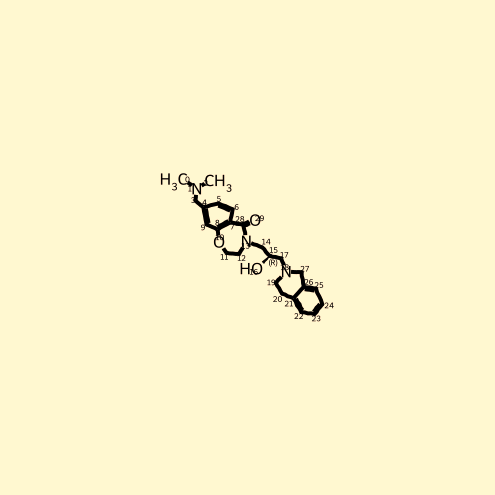 CN(C)Cc1ccc2c(c1)OCCN(C[C@H](O)CN1CCc3ccccc3C1)C2=O